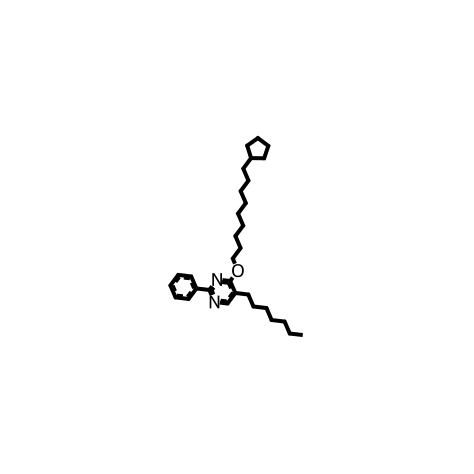 CCCCCCCc1cnc(-c2ccccc2)nc1OCCCCCCCCCC1CCCC1